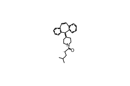 CC(C)C[CH]C(=O)N1CCC(=C2c3ccccc3C=Cc3ccccc32)CC1